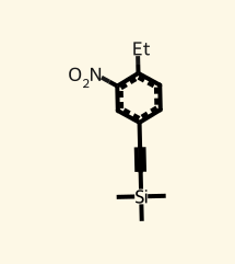 CCc1ccc(C#C[Si](C)(C)C)cc1[N+](=O)[O-]